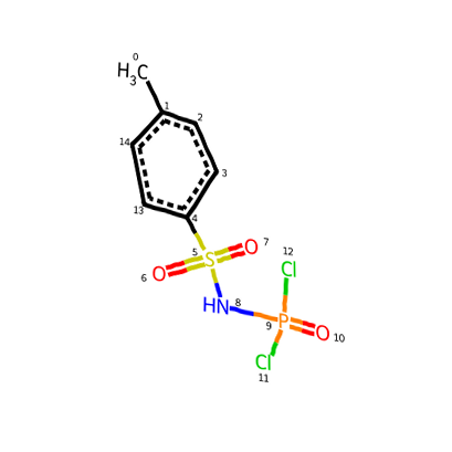 Cc1ccc(S(=O)(=O)NP(=O)(Cl)Cl)cc1